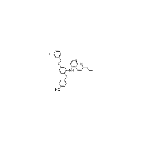 CCCc1ccc2c(Nc3cc(OCc4cccc(F)c4)ccc3Sc3ccc(O)cc3)ccnc2n1